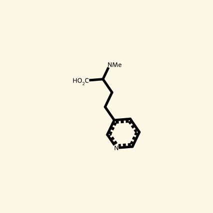 CNC(CCc1cccnc1)C(=O)O